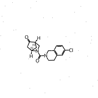 O=C1C[C@@H]2C[C@H]1CN2C(=O)N1CCc2cc(Cl)ccc2C1